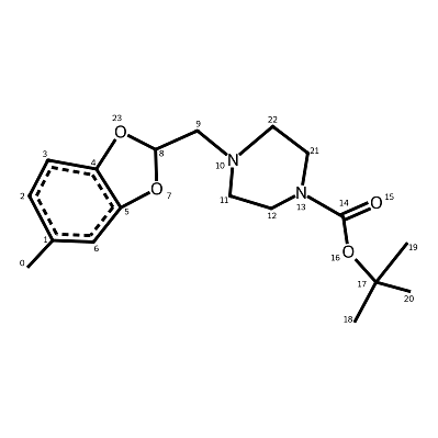 Cc1ccc2c(c1)OC(CN1CCN(C(=O)OC(C)(C)C)CC1)O2